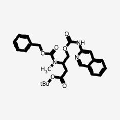 CN(C(=O)OCc1ccccc1)C(COC(=O)Nc1cc2ccccc2cn1)CC(=O)OC(C)(C)C